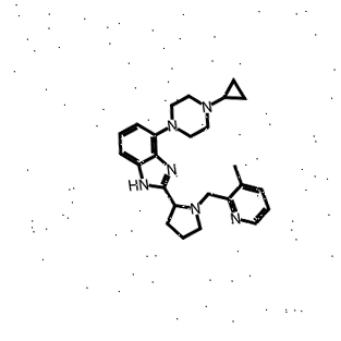 Cc1cccnc1CN1CCCC1c1nc2c(N3CCN(C4CC4)CC3)cccc2[nH]1